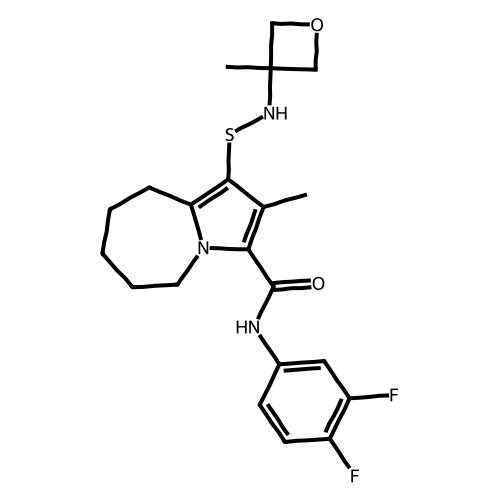 Cc1c(SNC2(C)COC2)c2n(c1C(=O)Nc1ccc(F)c(F)c1)CCCCC2